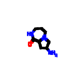 NC1CC2C(=O)NCCCN2C1